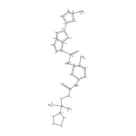 Cc1ncc(NC(=O)OCC(C)(C)N2CCCC2)cc1NC(=O)c1cnn2cc(-c3cnn(C)c3)sc12